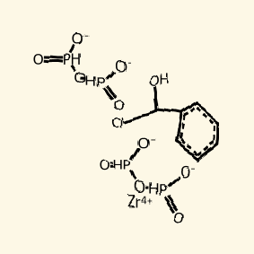 O=[PH]([O-])O[PH](=O)[O-].O=[PH]([O-])O[PH](=O)[O-].OC(Cl)c1ccccc1.[Zr+4]